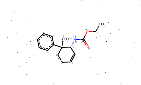 CCOC(=O)[C@]1(c2ccccc2)CCC=C[C@H]1NC(=O)OCC(Cl)(Cl)Cl